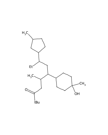 CCC(CC(C(C)CC(=O)C(C)(C)C)C1CCC(C)(O)CC1)C1CCC(C)C1